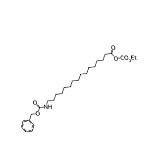 CCOC(=O)OC(=O)CCCCCCCCCCCCCCCNC(=O)OCc1ccccc1